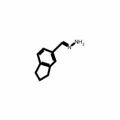 NN=Cc1ccc2c(c1)CCC2